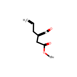 C=CCC(=C=O)CC(=O)OC(C)(C)C